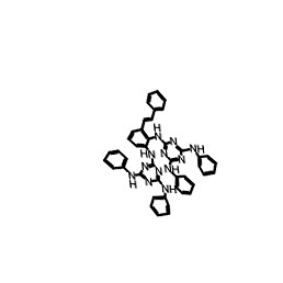 C(=Cc1cccc(Nc2nc(Nc3ccccc3)nc(Nc3ccccc3)n2)c1Nc1nc(Nc2ccccc2)nc(Nc2ccccc2)n1)c1ccccc1